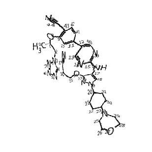 C[C@@H](Cn1cnnn1)Oc1cc(-c2cnc(Nc3cn(C4CCC(N5CCOCC5)CC4)nc3OCCC#N)nc2)ccc1C#N